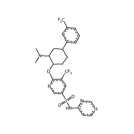 CN(C)C1CC(c2cccc(C(F)(F)F)c2)CCC1Oc1ncc(S(=O)(=O)Nc2ccncn2)cc1C(F)(F)F